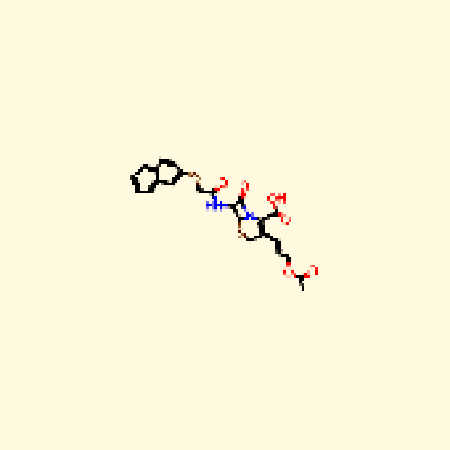 CC(=O)OCC=CC1=C(C(=O)O)N2C(=O)C(NC(=O)CSc3ccc4ccccc4c3)C2SC1